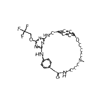 CN1CCCNC(=O)c2ccc(cc2)Nc2nc(nc(OCC(F)(F)F)n2)NCc2ccc(cc2)OCCC1